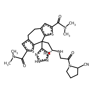 C[C@H](CC1(c2nn[nH]n2)c2sc(C(=O)N(C)C)cc2CCc2cc(C(=O)N(C)C)sc21)NCC(=O)N1CCCC1C#N